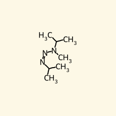 CC(C)/N=N\N(C)C(C)C